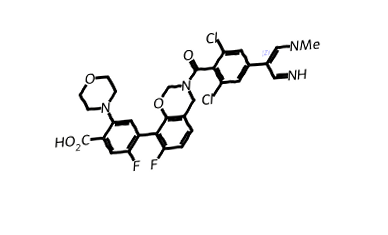 CN/C=C(\C=N)c1cc(Cl)c(C(=O)N2COc3c(ccc(F)c3-c3cc(N4CCOCC4)c(C(=O)O)cc3F)C2)c(Cl)c1